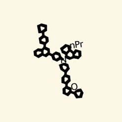 CCCc1cccc2c(N(c3ccc(-c4ccc(-c5cccc6c5oc5ccccc56)cc4)cc3)c3ccc(-c4cc(-c5ccc(-c6ccccc6)cc5)c5ccccc5c4)cc3)cc3ccccc3c12